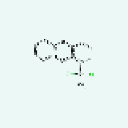 C[Si](Cl)(Cl)c1cccc2cc3ccccc3cc12